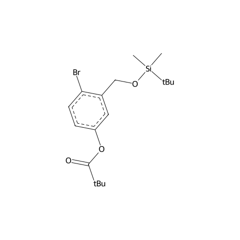 CC(C)(C)C(=O)Oc1ccc(Br)c(CO[Si](C)(C)C(C)(C)C)c1